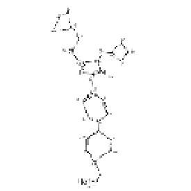 O=C(O)CC1CCC(c2ccc(-c3cc(OCC4CCC4)n(CC4CCC4)n3)cc2)CC1